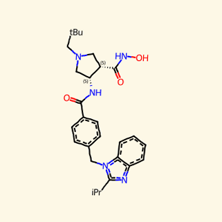 CC(C)c1nc2ccccc2n1Cc1ccc(C(=O)N[C@@H]2CN(CC(C)(C)C)C[C@@H]2C(=O)NO)cc1